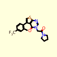 Cc1cc(C(F)(F)F)ccc1-c1csc2ncn(CC(=O)N3CCCC3)c(=O)c12